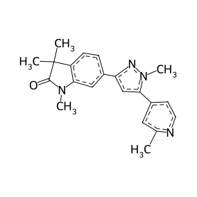 Cc1cc(-c2cc(-c3ccc4c(c3)N(C)C(=O)C4(C)C)nn2C)ccn1